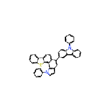 c1ccc(-n2ccc3cc(-c4ccc5c(c4)c4ccccc4n5-c4ccccc4)c4ccc5c6ccccc6sc5c4c32)cc1